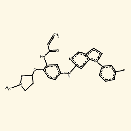 C=CC(=O)Nc1cc(Nc2cc3c(ccn3-c3cccc(F)c3)cn2)ccc1OC1CCN(C)C1